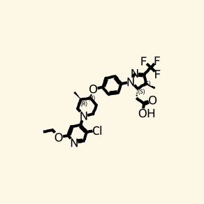 CCOc1cc(N2CC[C@@H](Oc3ccc(N4N=C(C(F)(F)F)[C@@H](C)[C@@H]4CC(=O)O)cc3)[C@H](C)C2)c(Cl)cn1